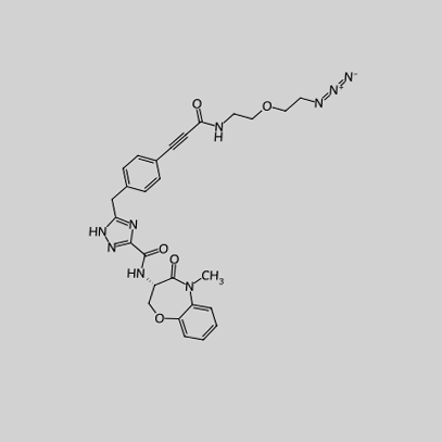 CN1C(=O)[C@@H](NC(=O)c2n[nH]c(Cc3ccc(C#CC(=O)NCCOCCN=[N+]=[N-])cc3)n2)COc2ccccc21